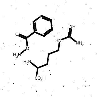 N=C(N)NCCCC(N)C(=O)O.NOC(=O)c1ccccc1